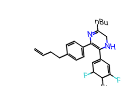 C=CCCc1ccc(C2=C(C3=CC(F)C(CC)C(F)=C3)NCC(CCCC)=N2)cc1